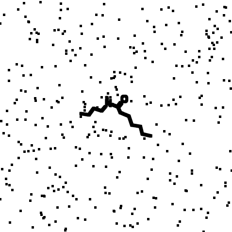 CCCCCCC(=O)N(C)CCCC